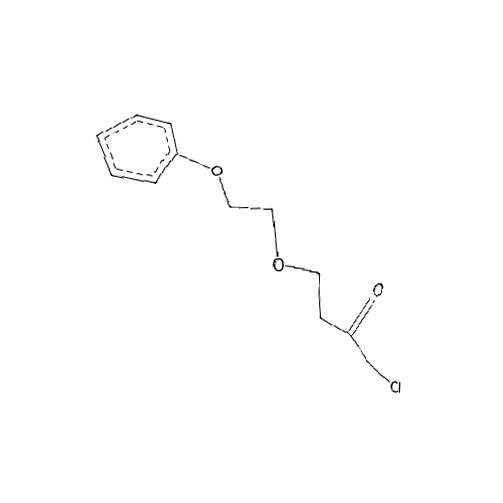 O=C(CCl)CCOCCOc1ccccc1